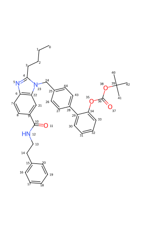 CCCCc1nc2ccc(C(=O)NCCc3ccccc3)cc2n1Cc1ccc(-c2ccccc2OC(=O)OC(C)(C)C)cc1